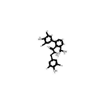 NC(Cc1cc(I)c(O)c(I)c1)C(=O)c1c(C(=O)O)cccc1-c1cc(I)c(O)c(I)c1